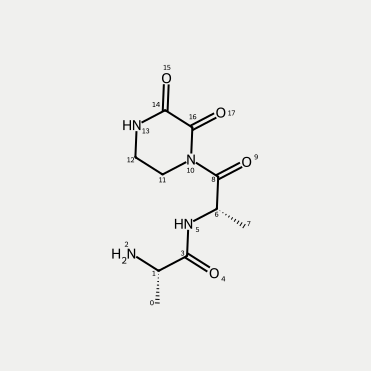 C[C@H](N)C(=O)N[C@@H](C)C(=O)N1CCNC(=O)C1=O